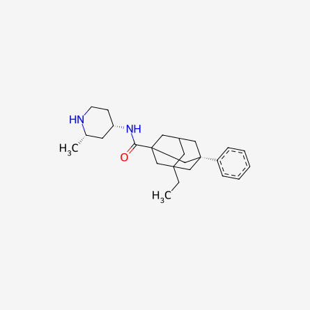 CCC12CC3CC(C(=O)N[C@H]4CCN[C@@H](C)C4)(C1)C[C@@](c1ccccc1)(C3)C2